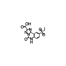 CCS(=O)(=O)c1ccc2[nH]c(=O)n3nc(C(=O)O)nc3c2c1